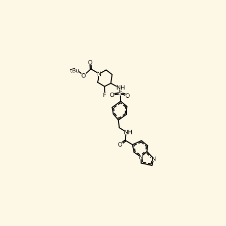 CC(C)(C)OC(=O)N1CCC(NS(=O)(=O)c2ccc(CNC(=O)c3ccc4nccn4c3)cc2)C(F)C1